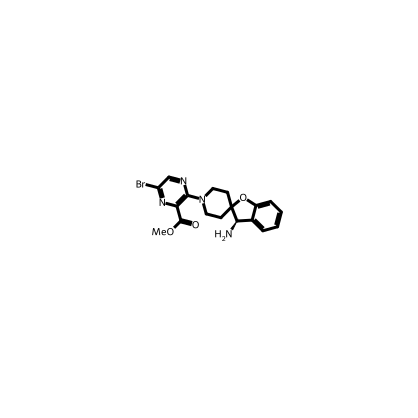 COC(=O)c1nc(Br)cnc1N1CCC2(CC1)Oc1ccccc1[C@H]2N